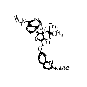 CNc1ccc2ccc(OC[C@H]3OC(n4ccc5c(N)ncnc54)[C@@H]4OC(C)(C)O[C@H]34)cc2n1